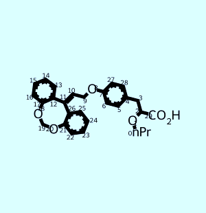 CCCOC(Cc1ccc(OCC=C2c3ccccc3OCOc3ccccc32)cc1)C(=O)O